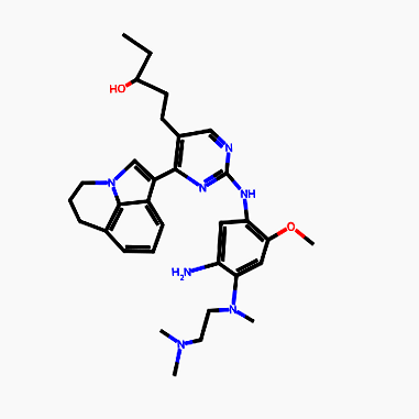 CCC(O)CCc1cnc(Nc2cc(N)c(N(C)CCN(C)C)cc2OC)nc1-c1cn2c3c(cccc13)CCC2